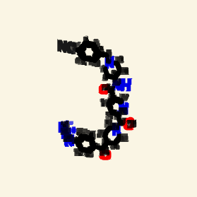 N#Cc1ccc(CN2CCC(NC(=O)c3ccc(C(=O)N4CCC(C(=O)c5ccc(N=[N+]=[N-])cc5)CC4)nc3)CC2)cc1